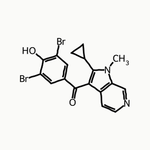 Cn1c(C2CC2)c(C(=O)c2cc(Br)c(O)c(Br)c2)c2ccncc21